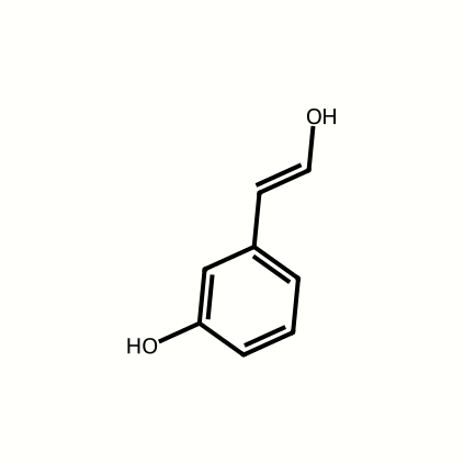 OC=Cc1cccc(O)c1